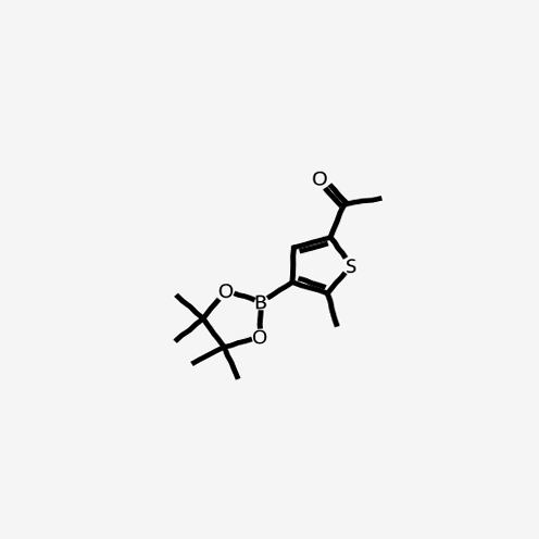 CC(=O)c1cc(B2OC(C)(C)C(C)(C)O2)c(C)s1